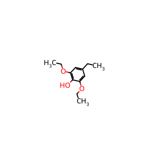 CCOc1cc(CC)cc(OCC)c1O